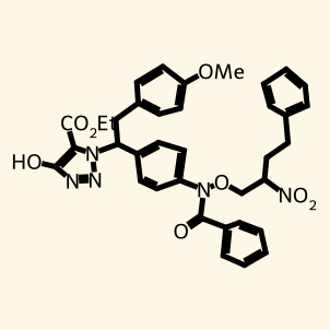 CCOC(=O)c1c(O)nnn1C(Cc1ccc(OC)cc1)c1ccc(N(OCC(CCc2ccccc2)[N+](=O)[O-])C(=O)c2ccccc2)cc1